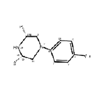 C[C@@H]1CN(c2ccc(I)cc2)C[C@H](C)N1